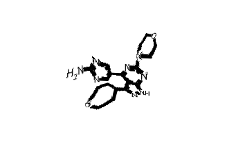 Nc1ncc(-c2nc(N3CCOCC3)nc3[nH]nc(C4CCOCC4)c23)cn1